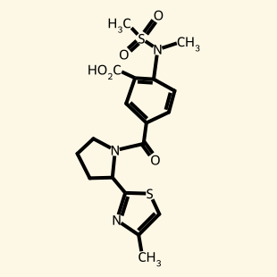 Cc1csc(C2CCCN2C(=O)c2ccc(N(C)S(C)(=O)=O)c(C(=O)O)c2)n1